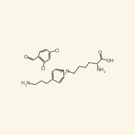 NCCCC[C@H](N)C(=O)O.NCCCc1ccccc1.O=Cc1ccc(Cl)cc1Cl